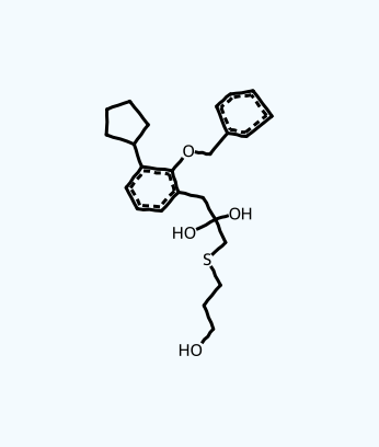 OCCCSCC(O)(O)Cc1cccc(C2CCCC2)c1OCc1ccccc1